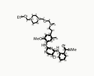 CCOCN1CCN(COCN(C)CCc2cc(OC)c(Nc3ncc(Cl)c(Nc4ccccc4C(=O)NC)n3)cc2C)CC1